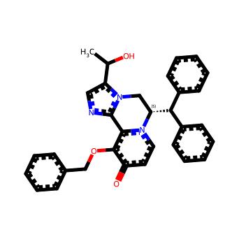 CC(O)c1cnc2n1C[C@H](C(c1ccccc1)c1ccccc1)n1ccc(=O)c(OCc3ccccc3)c1-2